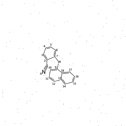 N#Cc1ccccc1Cc1cccc2ccccc12